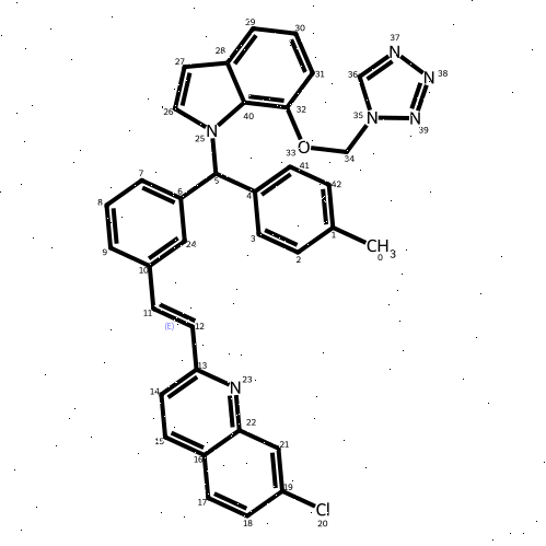 Cc1ccc(C(c2cccc(/C=C/c3ccc4ccc(Cl)cc4n3)c2)n2ccc3cccc(OCn4cnnn4)c32)cc1